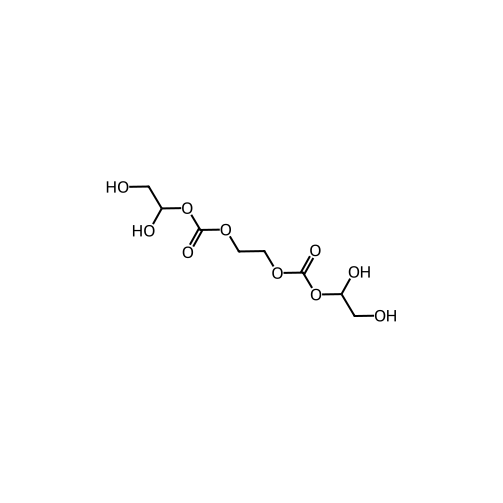 O=C(OCCOC(=O)OC(O)CO)OC(O)CO